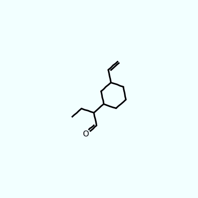 C=CC1CCCC(C(C=O)CC)C1